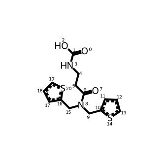 O=C(O)NCCC(=O)N(Cc1cccs1)Cc1cccs1